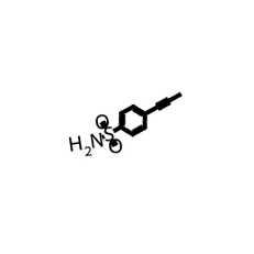 CC#Cc1ccc(S(N)(=O)=O)cc1